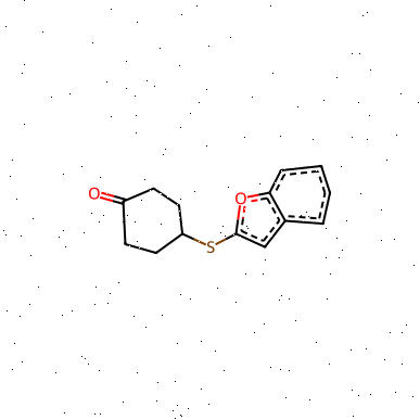 O=C1CCC(Sc2cc3ccccc3o2)CC1